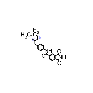 C=C/C=C(\C=C/C)Cc1ccc(NC(=O)c2ccc3c(c2)C(=O)NC3=O)cc1